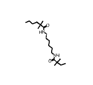 CCCCC(C)(C)C(=O)NCCCCCCNC(=O)C(C)(C)CC